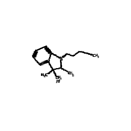 CCCCN1c2ccccc2C(C)(C)C1C.I